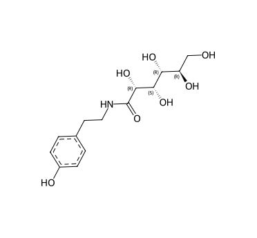 O=C(NCCc1ccc(O)cc1)[C@H](O)[C@@H](O)[C@H](O)[C@H](O)CO